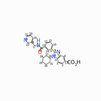 O=C(O)c1ccc2c(c1)nc(-c1cccc(C(=O)NCc3cccnc3)c1)n2C1CCCCC1